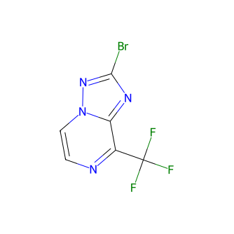 FC(F)(F)c1nccn2nc(Br)nc12